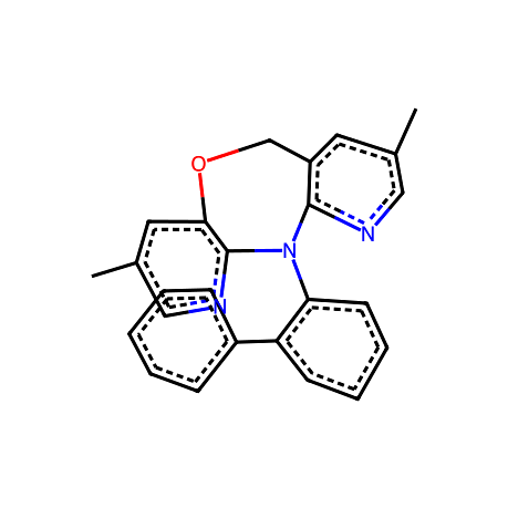 Cc1cnc2c(c1)COc1cc(C)cnc1N2c1ccccc1-c1ccccc1